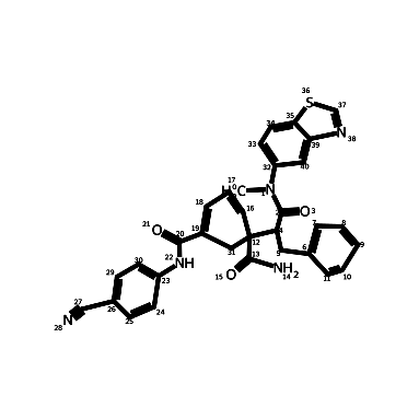 CN(C(=O)C(Cc1ccccc1)C1(C(N)=O)C=CC=C(C(=O)Nc2ccc(C#N)cc2)C1)c1ccc2scnc2c1